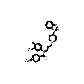 CC(=O)N1CCC(C(=O)N(CCCN2CCC(n3nnc4ccccc43)CC2)c2ccc(C)c(Cl)c2)CC1